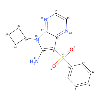 Nc1c(S(=O)(=O)c2ccccc2)c2nccnc2n1C1CCC1